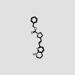 O=C(OCc1ccccc1)N1CCC(/C=C/c2ccc3c(n2)NCCC3)C1